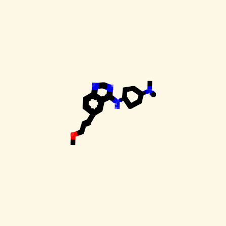 COCC=Cc1ccc2ncnc(N[C@H]3CC[C@H](N(C)C)CC3)c2c1